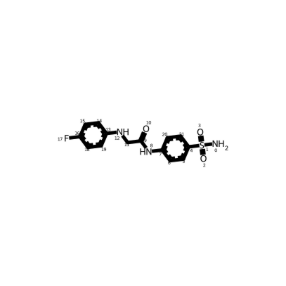 NS(=O)(=O)c1ccc(NC(=O)CNc2ccc(F)cc2)cc1